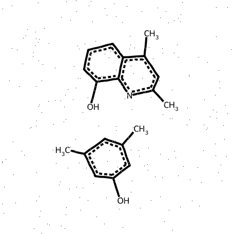 Cc1cc(C)c2cccc(O)c2n1.Cc1cc(C)cc(O)c1